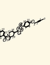 CC#CCOc1ccc(S(=O)(=O)OC(=O)C2CCN(C(=O)c3cccnc3)C(C)C2)cc1